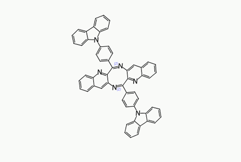 c1ccc2nc3c(cc2c1)/N=C(/c1ccc(-n2c4ccccc4c4ccccc42)cc1)c1nc2ccccc2cc1/N=C\3c1ccc(-n2c3ccccc3c3ccccc32)cc1